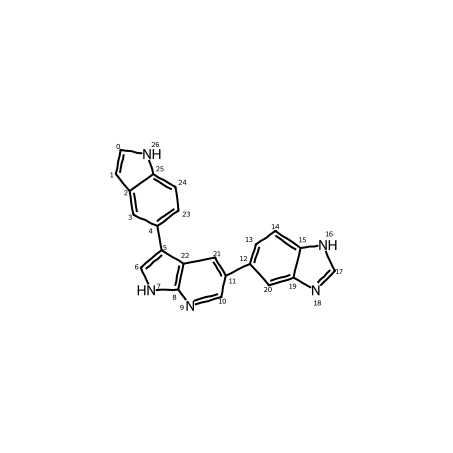 c1cc2cc(-c3c[nH]c4ncc(-c5ccc6[nH]cnc6c5)cc34)ccc2[nH]1